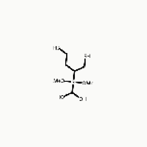 CO[Si](OC)(C(O)O)C(CS)CCS